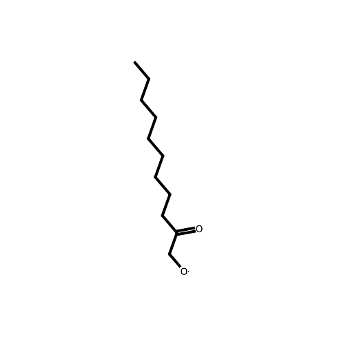 CCCCCCCCCC(=O)C[O]